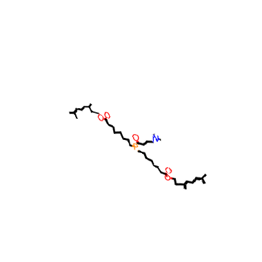 CC(C)=CCCC(C)CCOC(=O)CCCCCCCP(CCCCCCCC(=O)OCCC(C)CCC=C(C)C)C(=O)CCCN(C)C